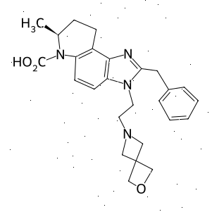 C[C@H]1CCc2c(ccc3c2nc(Cc2ccccc2)n3CCN2CC3(COC3)C2)N1C(=O)O